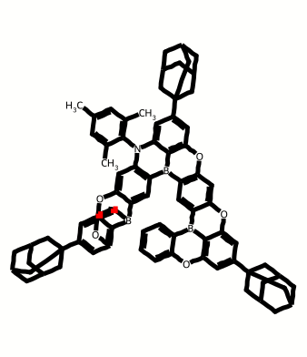 Cc1cc(C)c(N2c3cc4c(cc3B3c5cc6c(cc5Oc5cc(C78CC9CC(CC(C9)C7)C8)cc2c53)Oc2cc(C35CC7CC(CC(C7)C3)C5)cc3c2B6c2ccccc2O3)B2c3ccccc3Oc3cc(C56CC7CC(CC(C7)C5)C6)cc(c32)O4)c(C)c1